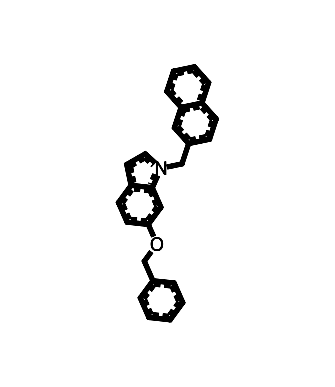 c1ccc(COc2ccc3ccn(Cc4ccc5ccccc5c4)c3c2)cc1